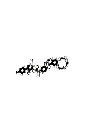 O=C(Nc1ccc(Oc2ncnc3cc4c(cc23)OCCOCCOCCO4)c(F)c1)Oc1c[nH]cc(-c2ccc(F)cc2)c1=O